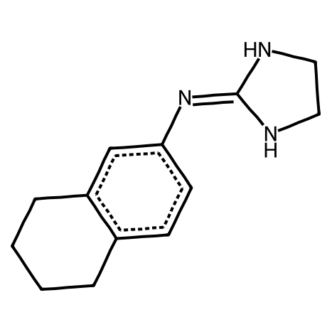 c1cc2c(cc1N=C1NCCN1)CCCC2